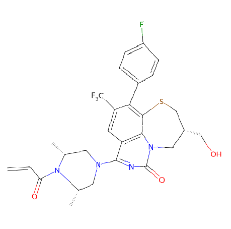 C=CC(=O)N1[C@H](C)CN(c2nc(=O)n3c4c(c(-c5ccc(F)cc5)c(C(F)(F)F)cc24)SC[C@H](CO)C3)C[C@@H]1C